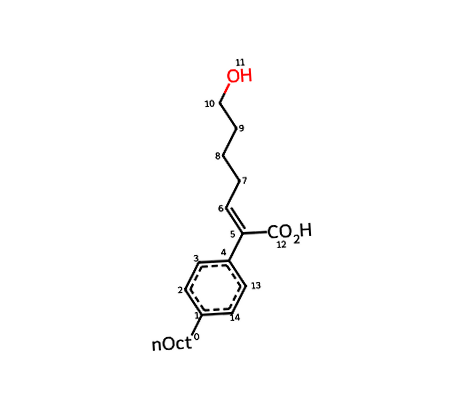 CCCCCCCCc1ccc(/C(=C/CCCCO)C(=O)O)cc1